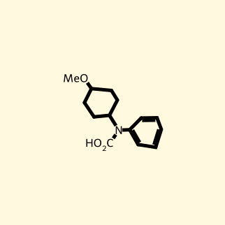 COC1CCC(N(C(=O)O)c2ccccc2)CC1